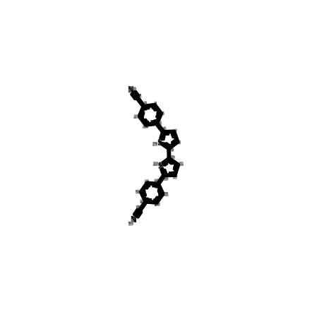 N#Cc1ccc(-c2ccc(-c3ccc(-c4ccc(C#N)cc4)s3)s2)cc1